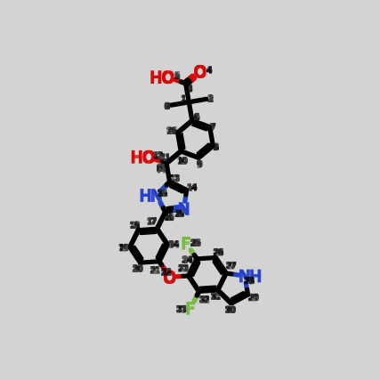 CC(C)(C(=O)O)c1cccc([C@H](O)c2cnc(-c3cccc(Oc4c(F)cc5[nH]ccc5c4F)c3)[nH]2)c1